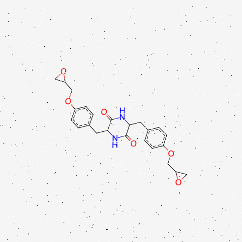 O=C1NC(Cc2ccc(OCC3CO3)cc2)C(=O)NC1Cc1ccc(OCC2CO2)cc1